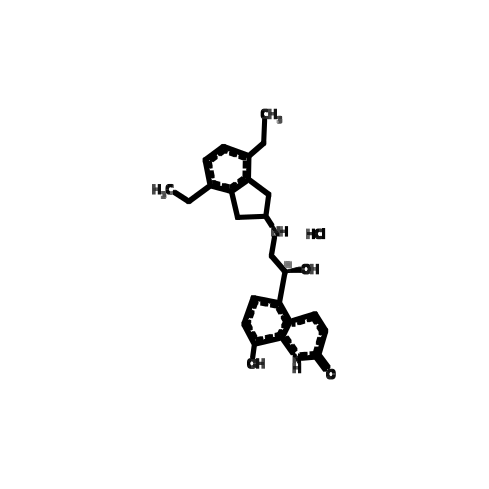 CCc1ccc(CC)c2c1CC(NC[C@@H](O)c1ccc(O)c3[nH]c(=O)ccc13)C2.Cl